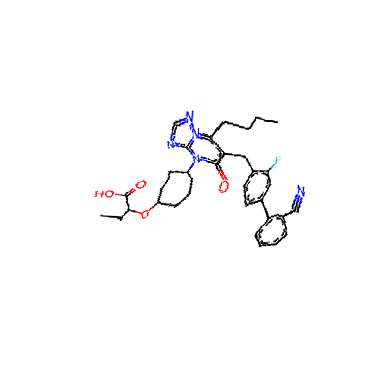 CCCCc1c(Cc2ccc(-c3ccccc3C#N)cc2F)c(=O)n(C2CCC(OC(CC)C(=O)O)CC2)c2ncnn12